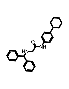 O=C(CNC(c1ccccc1)c1ccccc1)Nc1ccc(C2CCCCC2)cc1